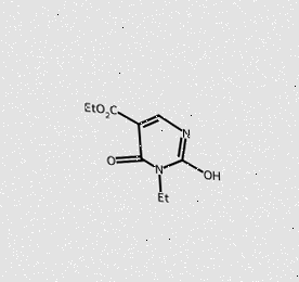 CCOC(=O)c1cnc(O)n(CC)c1=O